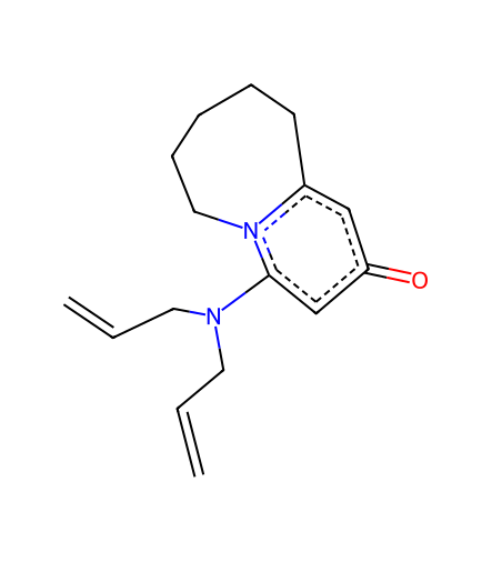 C=CCN(CC=C)c1cc(=O)cc2n1CCCCC2